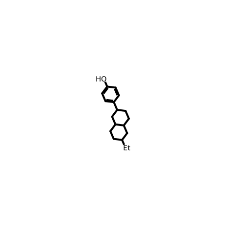 CCC1CCC2CC(c3ccc(O)cc3)CCC2C1